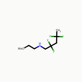 COCCNCC(F)(F)CC(C)(F)F